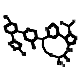 C[C@H]1CCCC(c2coc(-c3cc(Cl)ccc3-n3cc(Cl)nn3)cc2=O)c2cc(ccn2)-c2c(cnn2C(F)F)NC1=O